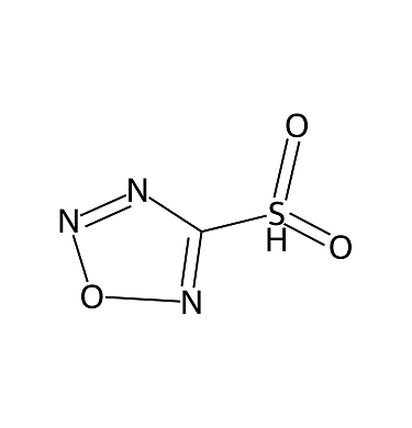 O=[SH](=O)c1nnon1